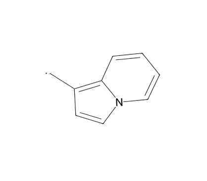 [CH2]c1ccn2ccccc12